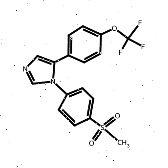 CS(=O)(=O)c1ccc(-n2cncc2-c2ccc(OC(F)(F)F)cc2)cc1